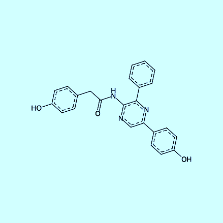 O=C(Cc1ccc(O)cc1)Nc1ncc(-c2ccc(O)cc2)nc1-c1ccccc1